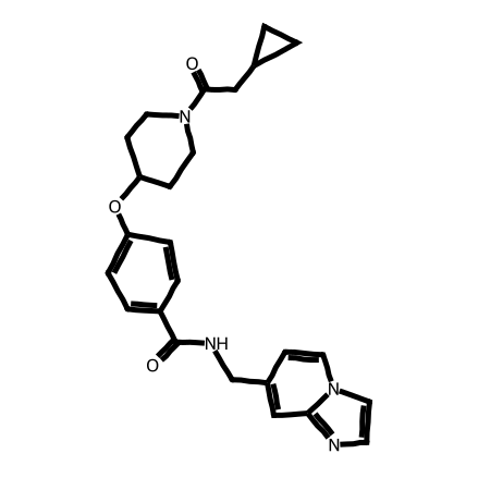 O=C(NCc1ccn2ccnc2c1)c1ccc(OC2CCN(C(=O)CC3CC3)CC2)cc1